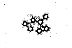 N#Cc1cc(-c2cc(-n3c4ccccc4c4ccccc43)cc(-c3ccccc3)c2C#N)cc(-n2c3ccccc3c3ccccc32)c1